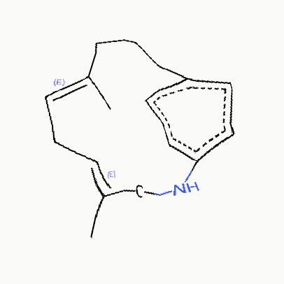 C/C1=C\C/C=C(\C)CNc2ccc(cc2)CC1